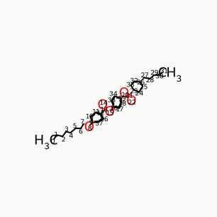 CCCCCCCCOc1ccc(C(=O)Oc2ccc(OC(=O)[C@H]3CC[C@H](CCCCC)CC3)cc2)cc1